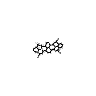 O=c1cc2c3ccc4c5c(ccc(c35)c3cc(=O)c5cccc1c5n23)c1cc(=O)c2cccc3c(=O)cc4n1c32